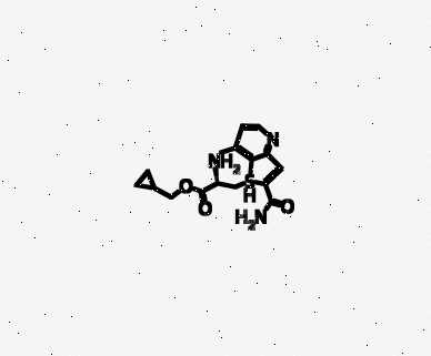 Cc1ccnc2c1[SH](C[C@H](N)C(=O)OCC1CC1)C(C(N)=O)=C2